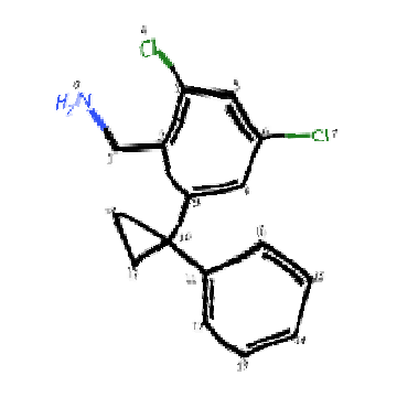 NCc1c(Cl)cc(Cl)cc1C1(c2ccccc2)CC1